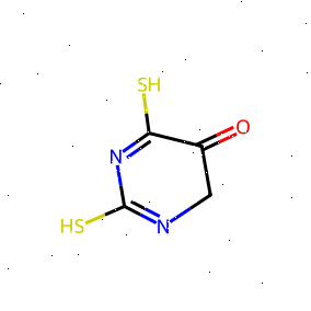 O=C1CN=C(S)N=C1S